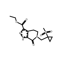 CCOC(=O)c1n[nH]c2c1CCN(CC1(S(C)(=O)=O)CC1)C2=O